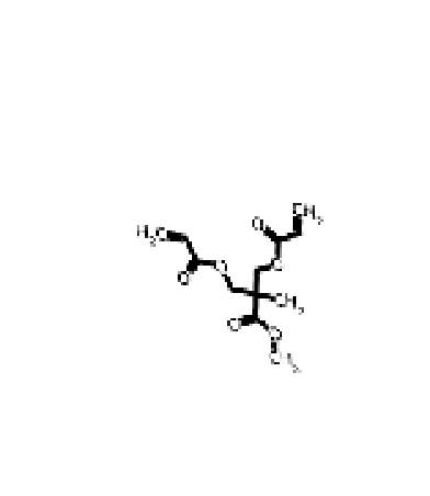 C=CC(=O)OCC(C)(COC(=O)C=C)C(=O)OC